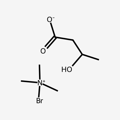 CC(O)CC(=O)[O-].C[N+](C)(C)Br